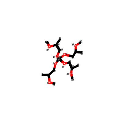 COC(C)C[O][Zr]([O]CC(C)OC)([O]CC(C)OC)[O]CC(C)OC